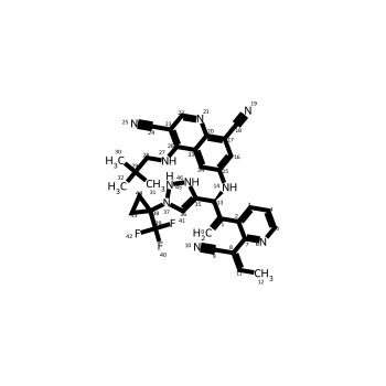 C=C(c1cccnc1/C(C#N)=C\C)[C@H](Nc1cc(C#N)c2ncc(C#N)c(NCC(C)(C)C)c2c1)C1=CN(C2(C(F)(F)F)CC2)NN1